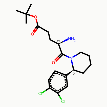 CC(C)(C)OC(=O)CC[C@@H](N)C(=O)N1CCCC[C@H]1c1ccc(Cl)c(Cl)c1